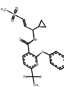 CC(F)(F)c1ccc(C(=O)NC(/C=C/S(C)(=O)=O)C2CC2)c(Oc2ccccc2)n1